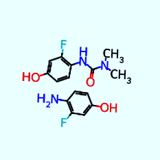 CN(C)C(=O)Nc1ccc(O)cc1F.Nc1ccc(O)cc1F